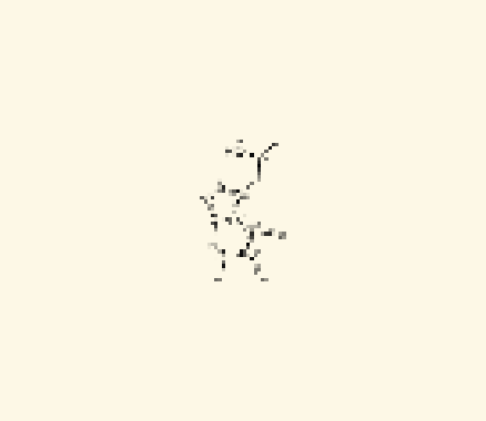 Cc1cc2ccn(CC(C)O)c2c(F)c1F